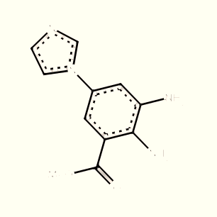 COC(=O)c1cc(-n2ccnc2)cc(N)c1N